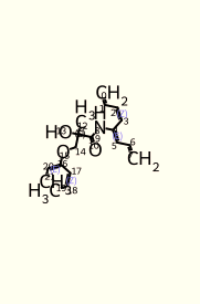 C=C/C=C\C(=C/C=C)NC(=O)[C@@](C)(O)COC(/C=C\C)=C/C